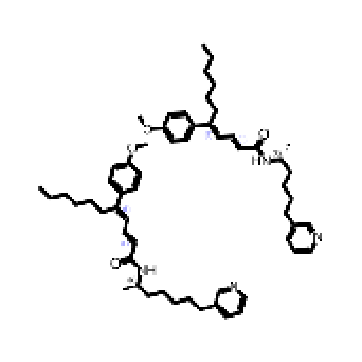 CCCCCC/C(=C\C=C\C(=O)N[C@H](C)CCCCCc1cccnc1)c1ccc(OC)cc1.CCCCCC/C(=C\C=C\C(=O)N[C@H](C)CCCCc1cccnc1)c1ccc(OC)cc1